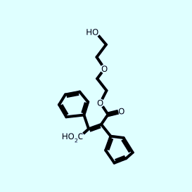 O=C(O)/C(=C(/C(=O)OCCOCCO)c1ccccc1)c1ccccc1